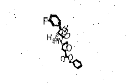 C[C@]1(C(=O)NC2COC(C(=O)OCc3ccccc3)C2)CC(c2cccc(F)c2)=NO1